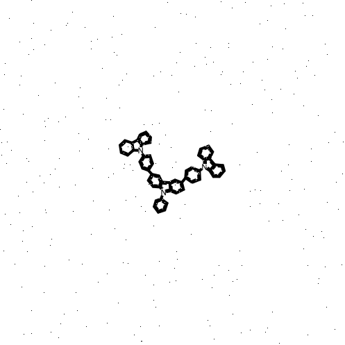 C1=CC2c3ccccc3N(c3ccc(-c4ccc5c(c4)c4cc(-c6ccc(-n7c8ccccc8c8ccccc87)cc6)ccc4n5-c4ccccc4)cc3)C2C=C1